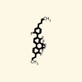 C=CCCc1ccc(-c2ccc3c(c2F)C(F)(F)C(F)(F)c2c-3ccc(CCC)c2F)c(F)c1